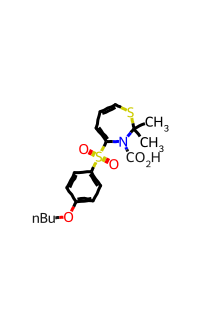 CCCCOc1ccc(S(=O)(=O)C2=CC=CSC(C)(C)N2C(=O)O)cc1